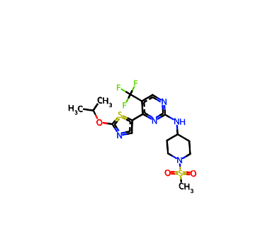 CC(C)Oc1ncc(-c2nc(NC3CCN(S(C)(=O)=O)CC3)ncc2C(F)(F)F)s1